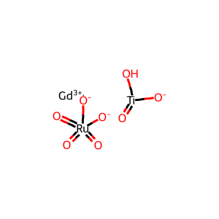 [Gd+3].[O]=[Ru](=[O])(=[O])([O-])[O-].[O]=[Ti]([O-])[OH]